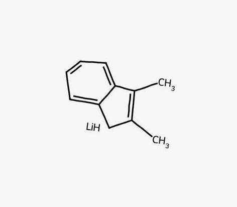 CC1=C(C)c2ccccc2C1.[LiH]